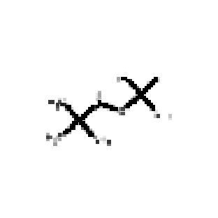 CC(C)(N)BOC(C)(C)I